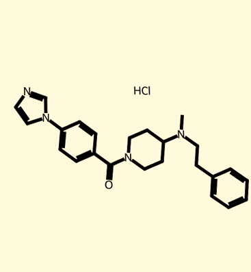 CN(CCc1ccccc1)C1CCN(C(=O)c2ccc(-n3ccnc3)cc2)CC1.Cl